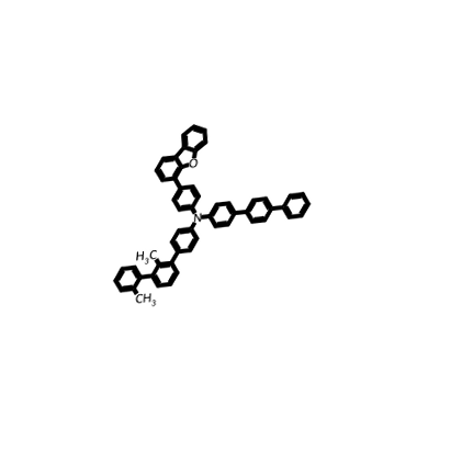 Cc1ccccc1-c1cccc(-c2ccc(N(c3ccc(-c4ccc(-c5ccccc5)cc4)cc3)c3ccc(-c4cccc5c4oc4ccccc45)cc3)cc2)c1C